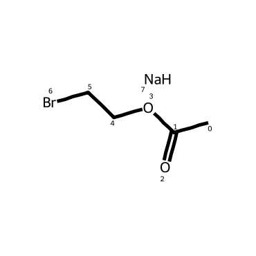 CC(=O)OCCBr.[NaH]